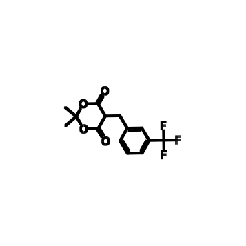 CC1(C)OC(=O)C(Cc2cccc(C(F)(F)F)c2)C(=O)O1